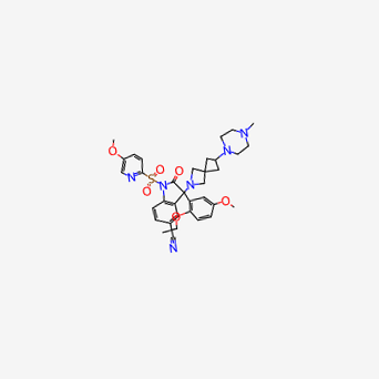 CCOc1ccc(OC)cc1C1(N2CC3(CC(N4CCN(C)CC4)C3)C2)C(=O)N(S(=O)(=O)c2ccc(OC)cn2)c2ccc(C#N)cc21